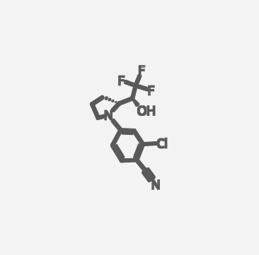 N#Cc1ccc(N2CCC[C@@H]2[C@H](O)C(F)(F)F)cc1Cl